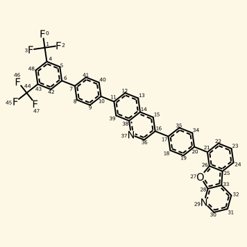 FC(F)(F)c1cc(-c2ccc(-c3ccc4cc(-c5ccc(-c6cccc7c6oc6ncccc67)cc5)cnc4c3)cc2)cc(C(F)(F)F)c1